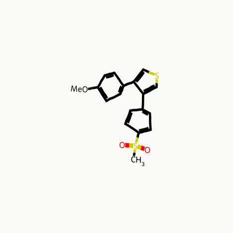 COc1ccc(-c2cscc2-c2ccc(S(C)(=O)=O)cc2)cc1